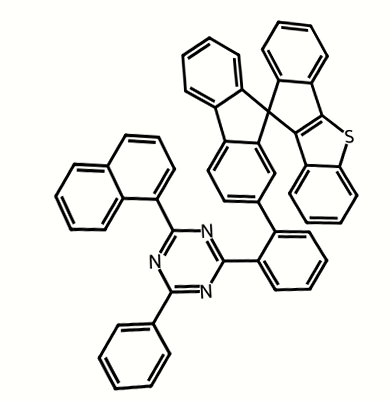 c1ccc(-c2nc(-c3ccccc3-c3ccc4c(c3)C3(c5ccccc5-4)c4ccccc4-c4sc5ccccc5c43)nc(-c3cccc4ccccc34)n2)cc1